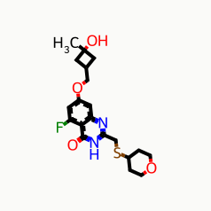 CC1(O)CC(COc2cc(F)c3c(=O)[nH]c(CSC4CCOCC4)nc3c2)C1